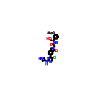 COc1cccc([C@@H](CO)NC(=O)CN2Cc3ccc(-c4nc(NC5CNC5)ncc4Cl)cc3C2=O)c1